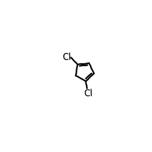 ClC1=CC=C(Cl)C1